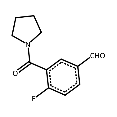 O=Cc1ccc(F)c(C(=O)N2CCCC2)c1